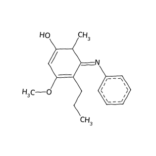 CCCC1=C(OC)C=C(O)C(C)C1=Nc1ccccc1